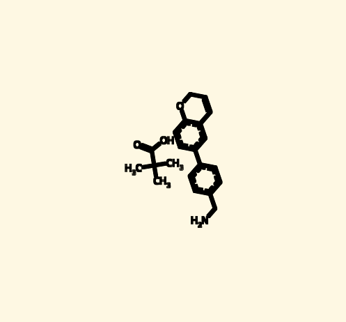 CC(C)(C)C(=O)O.NCc1ccc(-c2ccc3c(c2)C=CCO3)cc1